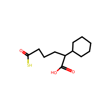 O=C(S)CCCC(C(=O)O)C1CCCCC1